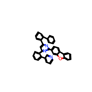 c1ccc(-c2ccccc2-c2cc(-c3ccccc3-c3cccnc3)nc(-c3ccc4c(c3)oc3ccccc34)n2)cc1